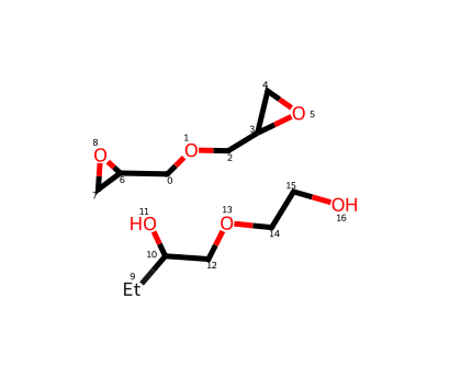 C(OCC1CO1)C1CO1.CCC(O)COCCO